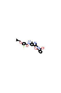 Cc1c(NC(=O)c2ccc(OCC3CC3)cc2F)ccc2cc(CN3C(=O)c4ccccc4C3=O)cnc12